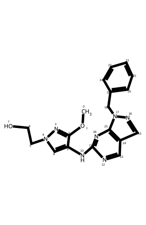 COc1nn(CCO)cc1Nc1ncc2cnn(Cc3ccccc3)c2n1